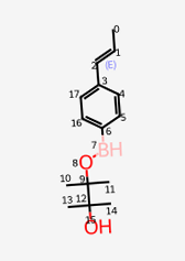 C/C=C/c1ccc(BOC(C)(C)C(C)(C)O)cc1